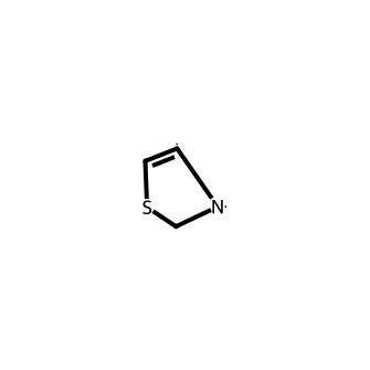 [C]1=CSC[N]1